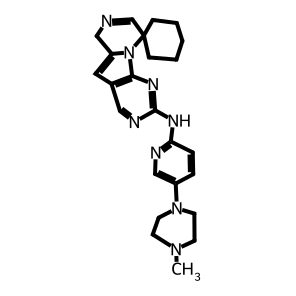 CN1CCN(c2ccc(Nc3ncc4cc5n(c4n3)C3(C=NC5)CCCCC3)nc2)CC1